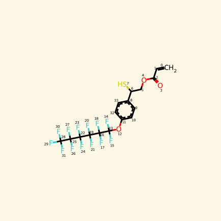 C=CC(=O)OCC(S)c1ccc(OC(F)(F)C(F)(F)C(F)(F)C(F)(F)C(F)(F)C(F)(F)F)cc1